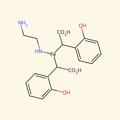 NCC[NH][Fe]([CH](C(=O)O)c1ccccc1O)[CH](C(=O)O)c1ccccc1O